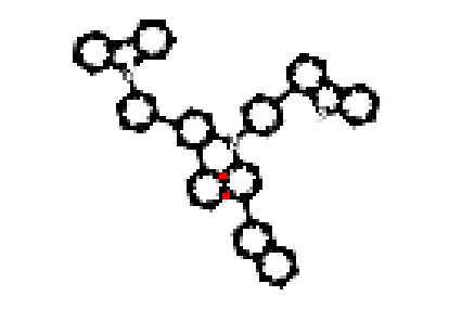 c1ccc(-c2cc(-c3cccc(-n4c5ccccc5c5ccccc54)c3)ccc2N(c2ccc(-c3ccc4ccccc4c3)cc2)c2ccc(-c3cccc4c3sc3ccccc34)cc2)cc1